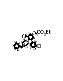 CCOC(=O)COc1ccc(N2CCN(Cc3ccccc3)C[C@H]2c2ccc(Cl)cc2)c(Cl)c1